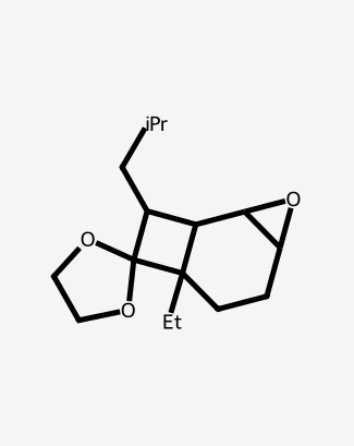 CCC12CCC3OC3C1C(CC(C)C)C21OCCO1